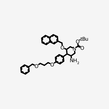 CC(C)(C)OC(=O)N1CC(N)C(c2ccc(OCCCOCc3ccccc3)cc2)C(OCc2ccc3ccccc3c2)C1